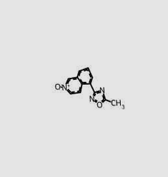 Cc1nc(-c2cccc3c[n+]([O-])ccc23)no1